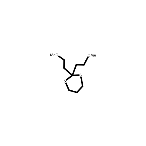 COCCC1(CCOC)SCCCS1